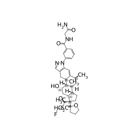 C[C@H]1C[C@@H]2[C@H]([C@@H](O)C[C@@]3(C)[C@H]2CC[C@]3(C(=O)SCF)[C@@]2(C(=O)O)CCCO2)[C@@]2(C)Cc3cnn(-c4cccc(C(=O)NCC(N)=O)c4)c3C=C12